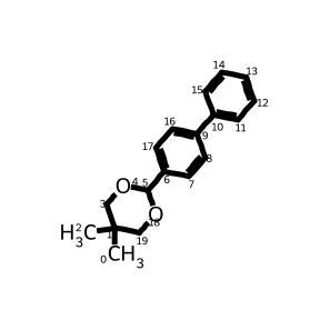 CC1(C)COC(c2ccc(-c3ccccc3)cc2)OC1